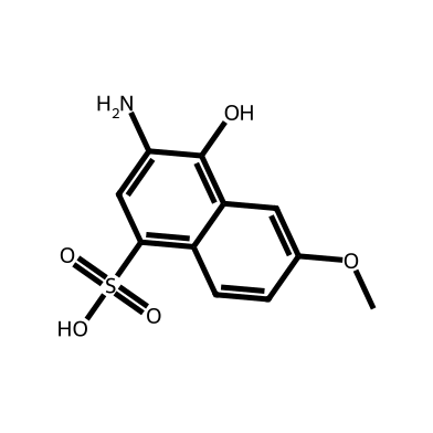 COc1ccc2c(S(=O)(=O)O)cc(N)c(O)c2c1